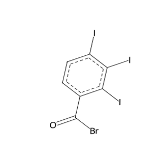 O=C(Br)c1ccc(I)c(I)c1I